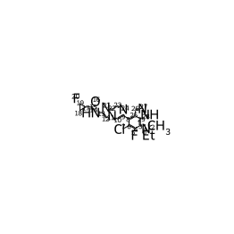 CCN(C)c1c(F)c(Cl)c(-c2cn3cc(NC(=O)C4CC4F)nc3cn2)c2cn[nH]c12